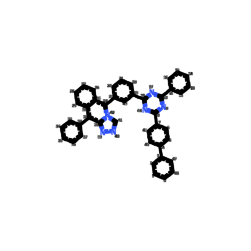 c1ccc(-c2ccc(-c3nc(-c4ccccc4)nc(-c4cccc(-c5c6ccccc6c(-c6ccccc6)c6nncn56)c4)n3)cc2)cc1